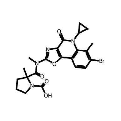 Cc1c(Br)ccc2c3oc(N(C)C(=O)C4(C)CCCN4C(=O)O)nc3c(=O)n(C3CC3)c12